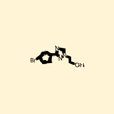 OCCn1cnc(-c2ccc(Br)cc2)n1